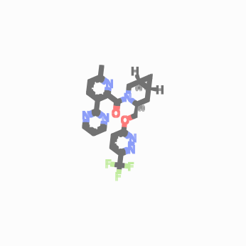 Cc1ccc(-c2ncccn2)c(C(=O)N2C[C@@H]3C[C@@H]3C[C@H]2COc2ccc(C(F)(F)F)nn2)n1